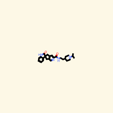 CC(C)N1CCC(CCNC(=O)c2cc3c(cn2)CC2(C3)C(=O)Nc3ccccc32)CC1